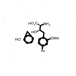 COc1cc(C(C)=O)ccc1C[C@@H](O)[C@H](N)C(=O)O.Cl.c1ccc2c(c1)C2